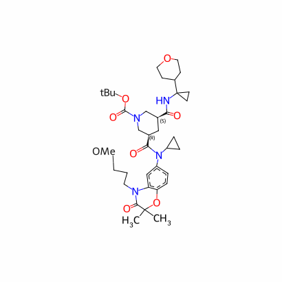 COCCCN1C(=O)C(C)(C)Oc2ccc(N(C(=O)[C@@H]3C[C@H](C(=O)NC4(C5CCOCC5)CC4)CN(C(=O)OC(C)(C)C)C3)C3CC3)cc21